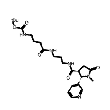 CN1C(=O)C[C@H](C(=O)NCCCNC(=O)CCCNC(=O)OC(C)(C)C)[C@H]1c1cccnc1